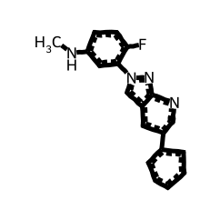 CNc1ccc(F)c(-n2cc3cc(-c4ccccc4)cnc3n2)c1